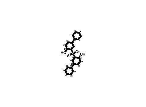 O=S(=O)(c1cc(-c2ccccc2)ccc1O)c1cc(-c2ccccc2)ccc1O